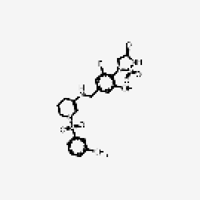 Cc1cccc(S(=O)(=O)N2C=C(NCc3cc(O)c(N4CC(=O)NS4(=O)=O)c(F)c3)CCC2)c1